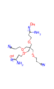 N#CCCOCC(COCCC#N)(COCC/C(N)=N/O)COCC/C(N)=N\O